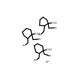 CC(C)CC1CCCCC1(CC(C)C)C(=O)[O-].CC(C)CC1CCCCC1(CC(C)C)C(=O)[O-].CC(C)CC1CCCCC1(CC(C)C)C(=O)[O-].[Al+3]